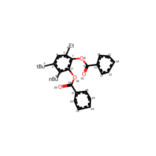 CCCCc1c(C(C)(C)C)cc(CC)c(OC(=O)c2ccccc2)c1OC(=O)c1ccccc1